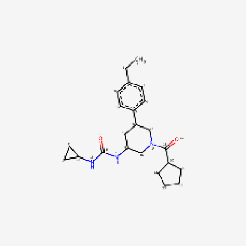 CCc1ccc(C2CC(NC(=O)NC3CC3)CN(C(=O)C3CCCC3)C2)cc1